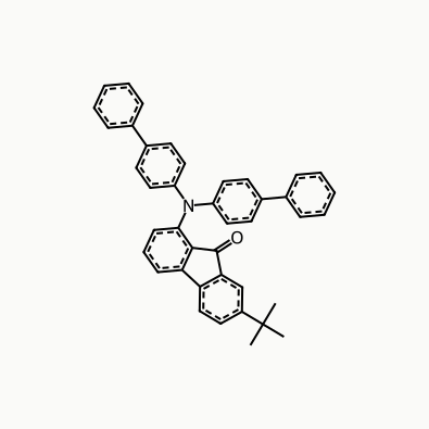 CC(C)(C)c1ccc2c(c1)C(=O)c1c-2cccc1N(c1ccc(-c2ccccc2)cc1)c1ccc(-c2ccccc2)cc1